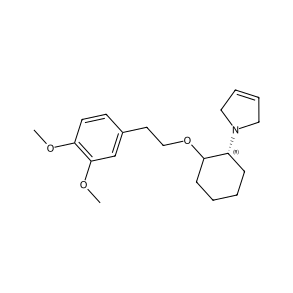 COc1ccc(CCOC2CCCC[C@H]2N2CC=CC2)cc1OC